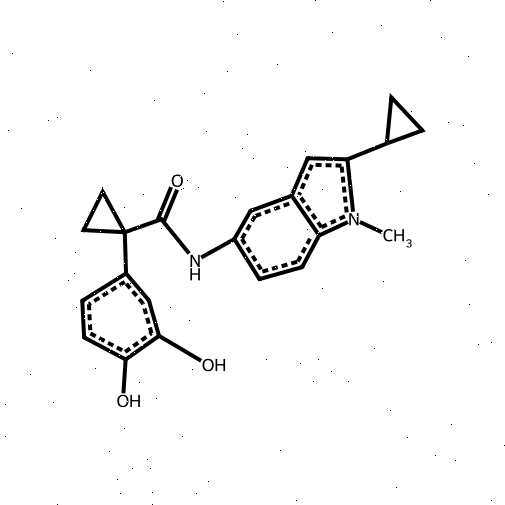 Cn1c(C2CC2)cc2cc(NC(=O)C3(c4ccc(O)c(O)c4)CC3)ccc21